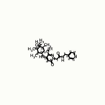 CCOc1nn(CC(=O)NCc2ccncc2)c(=O)cc1N[C@@H]1C[C@H](C)C(C)(C)[C@H](C)[C@H]1C